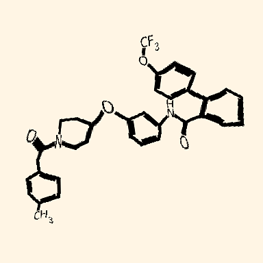 Cc1ccc(C(=O)N2CCC(Oc3cccc(NC(=O)c4ccccc4-c4ccc(OC(F)(F)F)cc4)c3)CC2)cc1